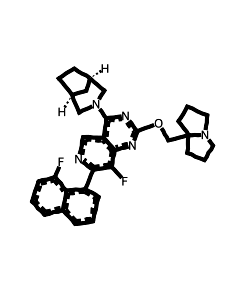 Fc1c(-c2cccc3cccc(F)c23)ncc2c(N3C[C@@H]4CC[C@@H](C4)C3)nc(OCC34CCCN3CCC4)nc12